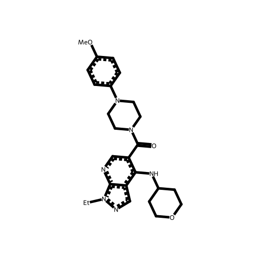 CCn1ncc2c(NC3CCOCC3)c(C(=O)N3CCN(c4ccc(OC)cc4)CC3)cnc21